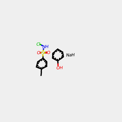 Cc1ccc(S(=O)(=O)NCl)cc1.Oc1ccccc1.[NaH]